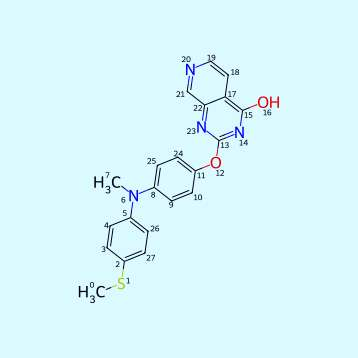 CSc1ccc(N(C)c2ccc(Oc3nc(O)c4ccncc4n3)cc2)cc1